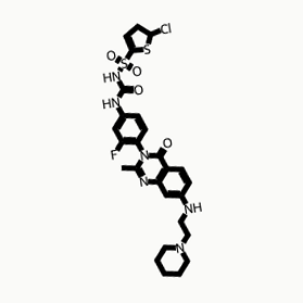 Cc1nc2cc(NCCN3CCCCC3)ccc2c(=O)n1-c1ccc(NC(=O)NS(=O)(=O)C2=CCC(Cl)S2)cc1F